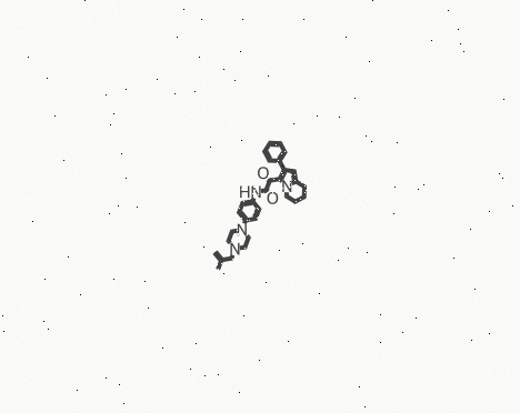 C=C(C)CN1CCN(c2ccc(NC(=O)C(=O)c3c(-c4ccccc4)cc4n3CCCC4)cc2)CC1